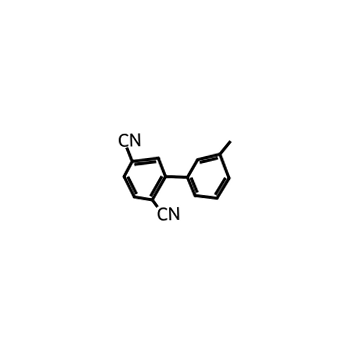 Cc1cccc(-c2cc(C#N)ccc2C#N)c1